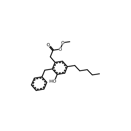 CCCCCc1cc(O)c(Cc2ccccc2)c(CC(=O)OOC)c1